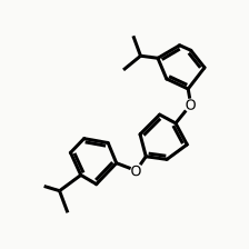 CC(C)c1cccc(Oc2ccc(Oc3cccc(C(C)C)c3)cc2)c1